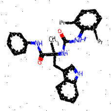 CC(C)c1cccc(C(C)C)c1NC(=O)NC(C)(Cc1c[nH]c2ccccc12)C(=O)Nc1ccccc1